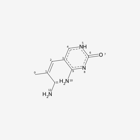 C/C(=C/c1c[nH]c(=O)nc1N)CN